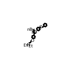 CCCCc1nc(-c2ccc(OCCCN(CC)CC)cc2)cn1-c1ccc(OCc2ccccc2)cc1